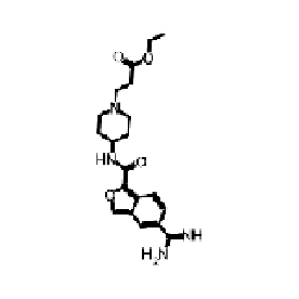 CCOC(=O)CCN1CCC(NC(=O)c2occ3cc(C(=N)N)ccc23)CC1